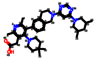 Cc1nc(C)c(-c2ccc3c(c2)CCN(c2cc(N4CC(C)CC(C)C4)ncn2)C3)c(N2CCC(C)(C)CC2)c1CC(=O)O